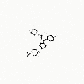 CC(C)N1CCC(Oc2ccc3c(-c4ccc(F)cc4)c(C(=O)N4C[C@@H](C)O[C@@H](C)C4)oc3c2)CC1